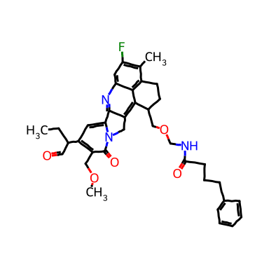 CCC(C=O)c1cc2n(c(=O)c1COC)Cc1c-2nc2cc(F)c(C)c3c2c1C(COCNC(=O)CCCc1ccccc1)CC3